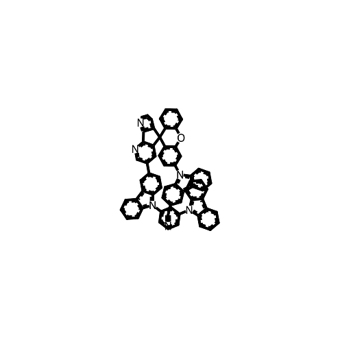 N#Cc1ccc2c(c1)c1ccccc1n2-c1ccc2c(c1)Oc1ccccc1C21c2cccnc2-c2ncc(-c3ccc4c(c3)c3ccccc3n4-c3cccc(-n4c5ccccc5c5ccccc54)c3)cc21